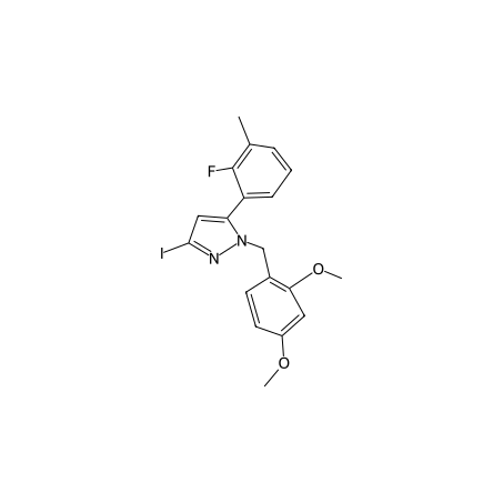 COc1ccc(Cn2nc(I)cc2-c2cccc(C)c2F)c(OC)c1